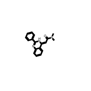 CN(C)C(=O)/C=C1\NC(c2ccccc2)=Nc2ccccc21